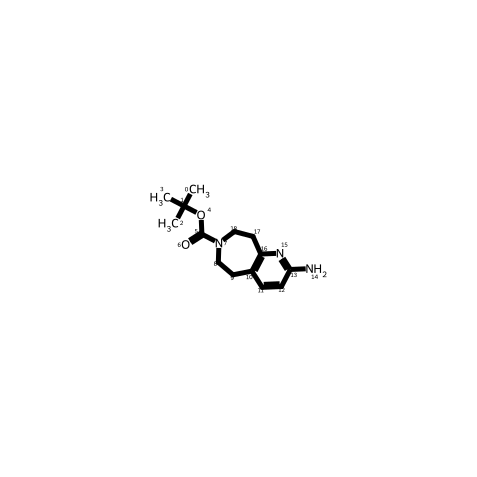 CC(C)(C)OC(=O)N1CCc2ccc(N)nc2CC1